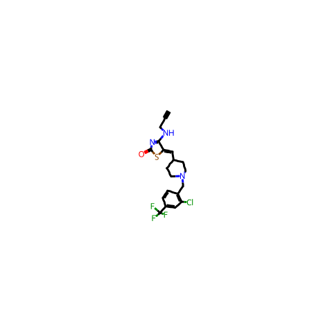 C#CCNC1=NC(=O)S/C1=C\C1CCN(Cc2ccc(C(F)(F)F)cc2Cl)CC1